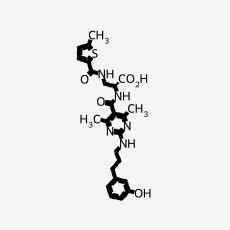 Cc1ccc(C(=O)NC[C@H](NC(=O)c2c(C)nc(NCCCc3cccc(O)c3)nc2C)C(=O)O)s1